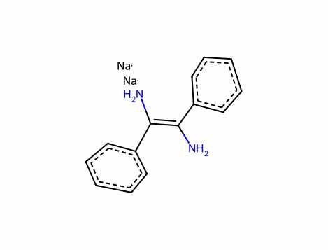 NC(=C(N)c1ccccc1)c1ccccc1.[Na].[Na]